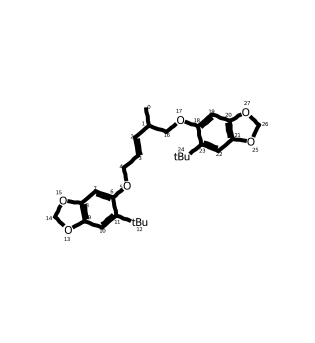 CC(/C=C/COc1cc2c(cc1C(C)(C)C)OCO2)COc1cc2c(cc1C(C)(C)C)OCO2